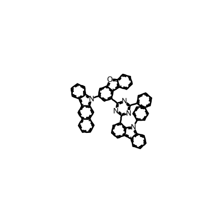 c1ccc(-c2nc(-c3cc(-n4c5ccccc5c5cc6ccccc6cc54)cc4oc5ccccc5c34)nc(-c3cccc4c5ccccc5n(-c5ccccc5)c34)n2)cc1